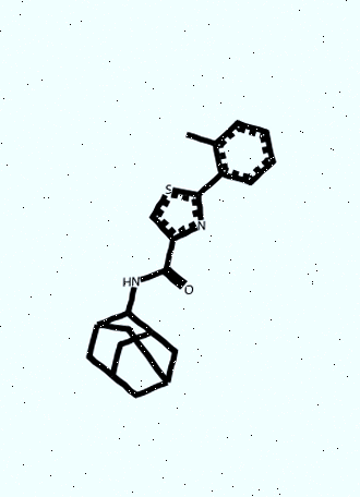 Cc1ccccc1-c1nc(C(=O)NC2C3CC4CC(C3)CC2C4)cs1